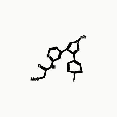 CCCn1cc(-c2ccnc(NC(=O)COC)c2)c(-c2ccc(F)cc2)n1